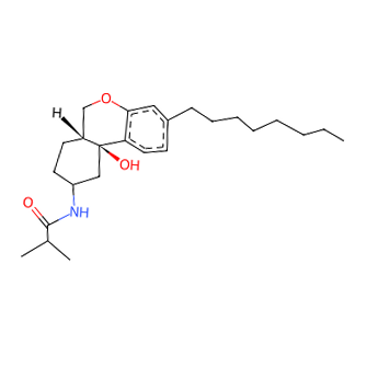 CCCCCCCCc1ccc2c(c1)OC[C@H]1CCC(NC(=O)C(C)C)C[C@@]21O